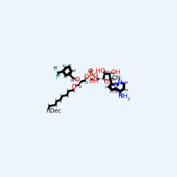 CCCCCCCCCCCCCCCCCCOC[C@H](COP(=O)(O)OC[C@H]1O[C@@](C#N)(c2ccc3c(N)ccnn23)[C@H](O)[C@@H]1O)OCc1cccc(C(F)F)c1